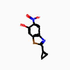 O=[N+]([O-])c1cc2nc(C3CC3)sc2cc1O